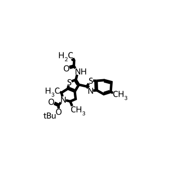 C=CC(=O)Nc1sc2c(c1-c1nc3cc(C)ccc3s1)CC(C)N(C(=O)OC(C)(C)C)C2C